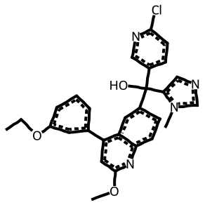 CCOc1cccc(-c2cc(OC)nc3ccc(C(O)(c4ccc(Cl)nc4)c4cncn4C)cc23)c1